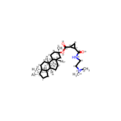 CC(=O)[C@H]1CC[C@H]2[C@@H]3CC[C@H]4C[C@](C)(OC(=O)C5CC5C(=O)NCCN(C)C)CC[C@]4(C)[C@H]3CC[C@]12C